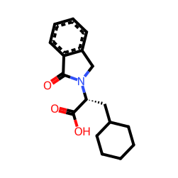 O=C(O)[C@@H](CC1CCCCC1)N1Cc2ccccc2C1=O